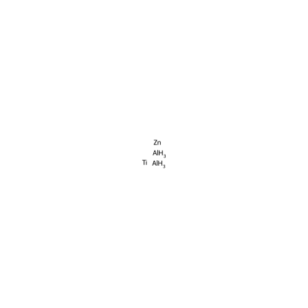 [AlH3].[AlH3].[Ti].[Zn]